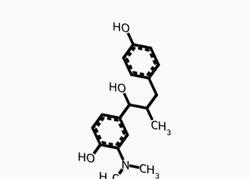 CC(Cc1ccc(O)cc1)C(O)c1ccc(O)c(N(C)C)c1